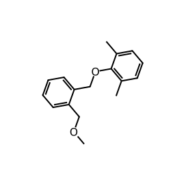 COCc1ccccc1COc1c(C)cccc1C